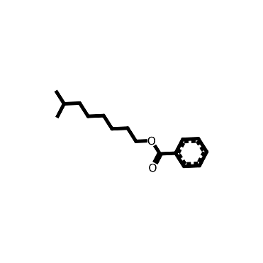 CC(C)CCCCCCOC(=O)c1ccccc1